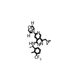 Cc1c([C@@H](C)Nc2nnc(CN(C)C)c3cnc(N4C[C@H]5CCC[C@@H]4CO5)cc23)cccc1C(F)(F)F